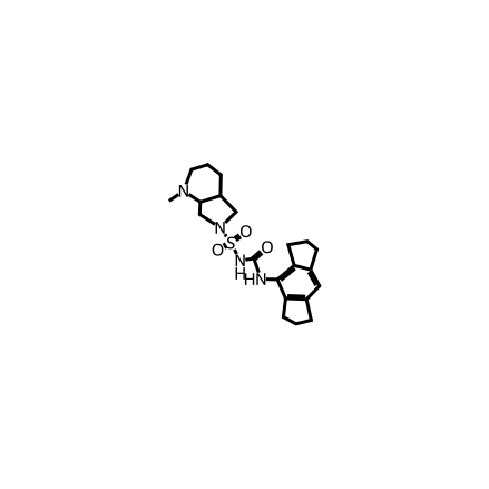 CN1CCCC2CN(S(=O)(=O)NC(=O)Nc3c4c(cc5c3CCC5)CCC4)CC21